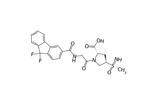 C[S@](=N)(=O)[C@@H]1C[C@@H](C(=O)O)N(C(=O)CNC(=O)c2ccc3c(c2)-c2ccccc2C3(F)F)C1